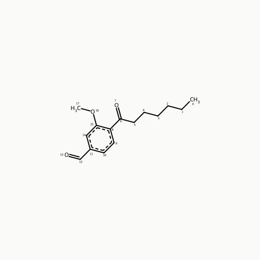 CCCCCCC(=O)c1ccc(C=O)cc1OC